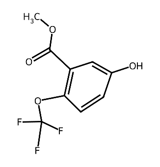 COC(=O)c1cc(O)ccc1OC(F)(F)F